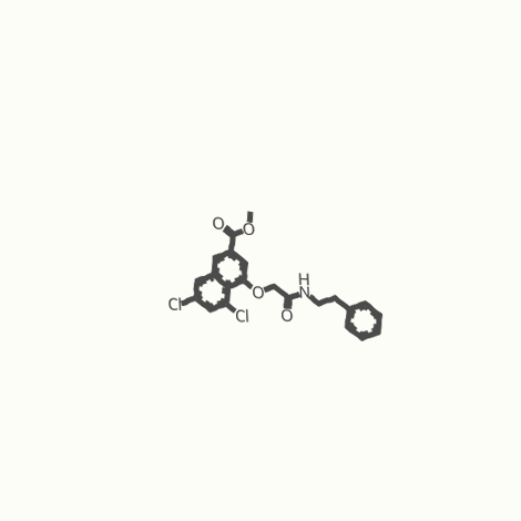 COC(=O)c1cc(OCC(=O)NCCc2ccccc2)c2c(Cl)cc(Cl)cc2c1